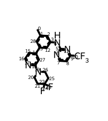 Cc1cc(Nc2nccc(C(F)(F)F)n2)cc(-c2ccnc(N3CCC(F)(F)CC3)c2)c1